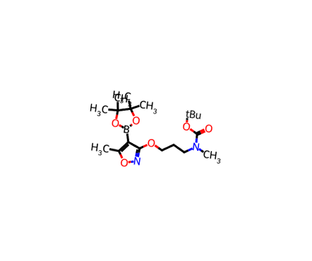 Cc1onc(OCCCN(C)C(=O)OC(C)(C)C)c1B1OC(C)(C)C(C)(C)O1